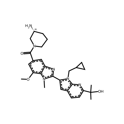 COc1cc(C(=O)N2CCC[C@@H](N)C2)cc2nc(-c3cc4ccc(C(C)(C)O)nc4n3CC3CC3)n(C)c12